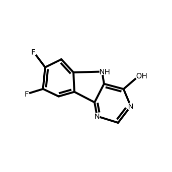 Oc1ncnc2c1[nH]c1cc(F)c(F)cc12